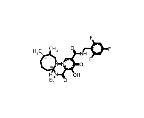 CCN1C(=O)c2c(O)c(=O)c(C(=O)NCc3c(F)cc(F)cc3F)cn2N2CC(C)[C@@H](C)CCC[C@@H]12